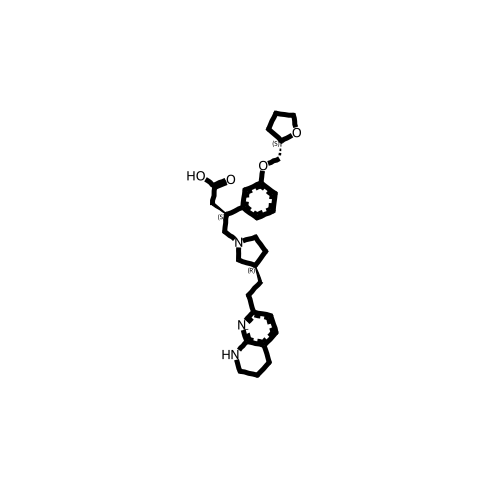 O=C(O)C[C@H](CN1CC[C@@H](CCc2ccc3c(n2)NCCC3)C1)c1cccc(OC[C@@H]2CCCO2)c1